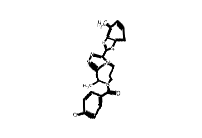 Cc1cccc2sc(-c3nnc4n3CCN(C(=O)c3ccc(Cl)cc3)C4C)nc12